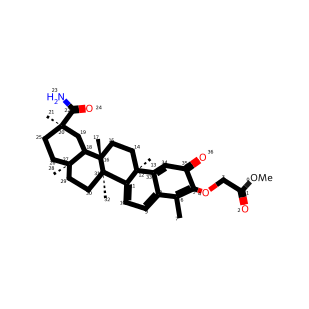 COC(=O)COC1=C(C)C2=CC=C3[C@@](C)(CC[C@@]4(C)C5C[C@](C)(C(N)=O)CC[C@]5(C)CC[C@]34C)C2=CC1=O